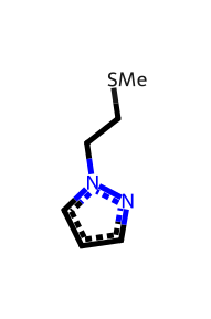 CSCCn1cccn1